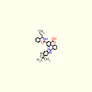 CCCC(NC(=O)c1ccc(-c2ccccc2-c2nc3cc(C(C)(C)C)ccc3[nH]2)c(C(=O)O)c1)c1ccccc1